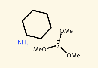 C1CCCCC1.CO[SiH](OC)OC.N